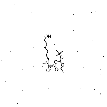 CC(ON=[N+]([O-])N(C)CCCCCCO)OC(=O)OC(C)(C)C